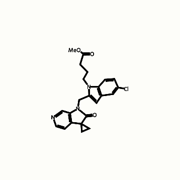 COC(=O)CCCn1c(CN2C(=O)C3(CC3)c3ccncc32)cc2cc(Cl)ccc21